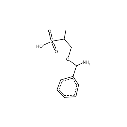 CC(COC(N)c1ccccc1)S(=O)(=O)O